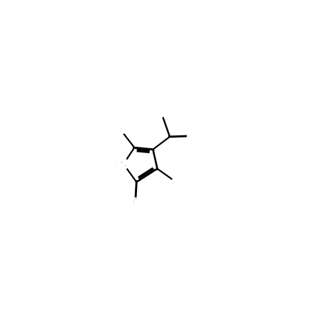 CCOC(=O)c1[nH]c(CC)c(C)c1C(C)C(=O)OCC